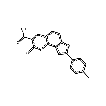 Cc1ccc(-c2cc3c(ccc4cc(C(=O)O)c(=O)oc43)o2)cc1